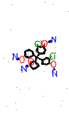 N#COc1ccc(C(c2ccccc2)(c2ccc(OC#N)c(Cl)c2)c2cccc(OC#N)c2OC#N)cc1Cl